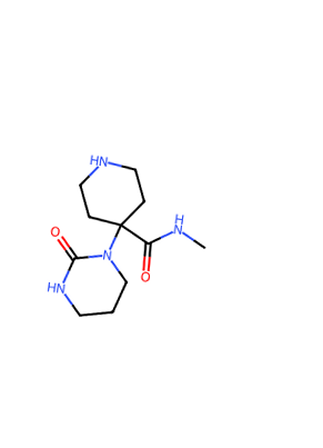 CNC(=O)C1(N2CCCNC2=O)CCNCC1